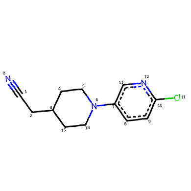 N#CCC1CCN(c2ccc(Cl)nc2)CC1